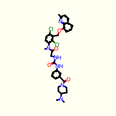 Cc1ccc2cccc(OCc3c(Cl)ccc(N(C)C(=O)CNC(=O)Nc4cccc(C(=O)N5CCC(N(C)C)CC5)c4)c3Cl)c2n1